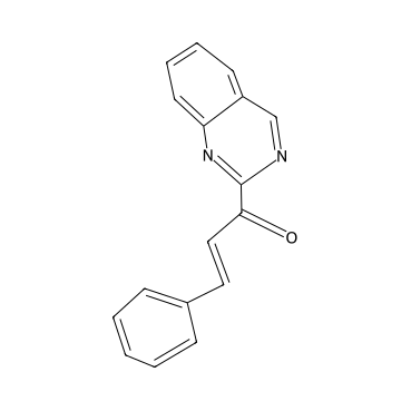 O=C(/C=C/c1ccccc1)c1ncc2ccccc2n1